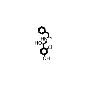 C[C@H](Cc1ccccc1)NC[C@H](O)c1ccc(O)cc1Cl